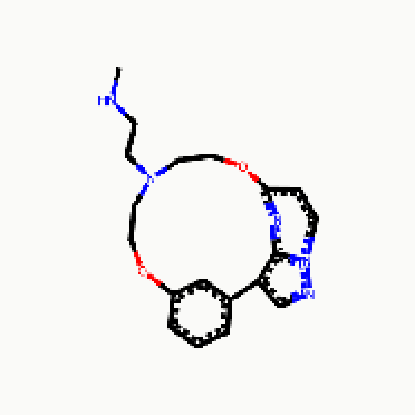 CNCCN1CCOc2cccc(c2)-c2cnn3ccc(nc23)OCC1